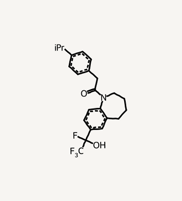 CC(C)c1ccc(CC(=O)N2CCCCc3cc(C(O)(F)C(F)(F)F)ccc32)cc1